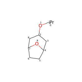 CC(C)OC1CC2CCC(C1)O2